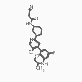 CC1COc2c(cc(F)cc2-c2cc(C3CCCC(NC(=O)CC#N)C3)ncc2Cl)N1